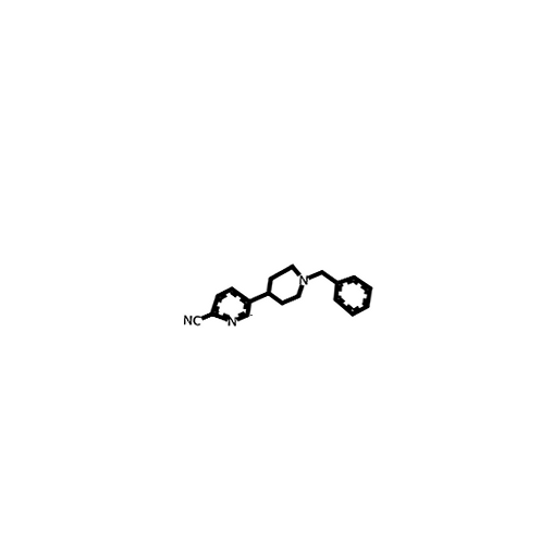 N#Cc1ccc(C2CCN(Cc3ccccc3)CC2)[c]n1